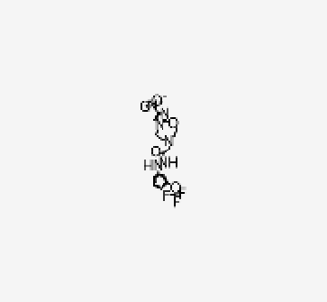 O=C(CN1CCOc2nc([N+](=O)[O-])cn2CC1)NNc1cccc(OC(F)(F)F)c1